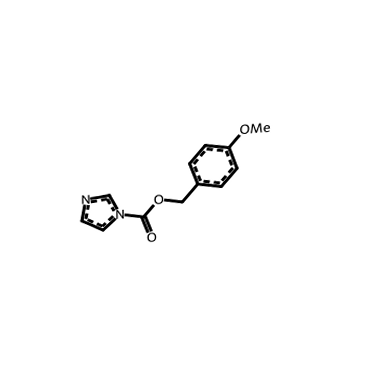 COc1ccc(COC(=O)n2ccnc2)cc1